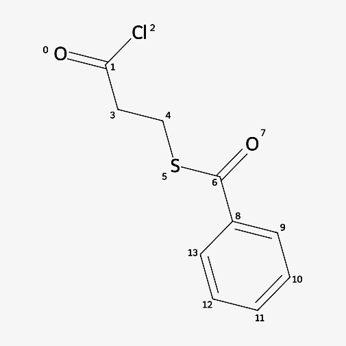 O=C(Cl)CCSC(=O)c1ccccc1